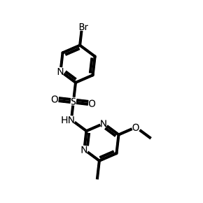 COc1cc(C)nc(NS(=O)(=O)c2ccc(Br)cn2)n1